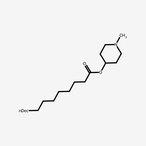 CCCCCCCCCCCCCCCCCC(=O)OC1CCN(C)CC1